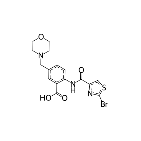 O=C(Nc1ccc(CN2CCOCC2)cc1C(=O)O)c1csc(Br)n1